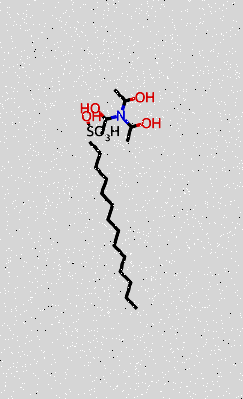 CC(O)N(C(C)O)C(C)O.CCCCCCCCCCCCCC.O=S(=O)(O)O